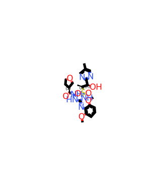 COc1cccc(OC)c1/N=C(/NNC(=O)[C@H]1CCOC1)NS(=O)(=O)[C@@H](C)[C@H](O)c1ncc(C)cn1